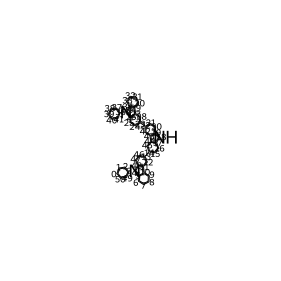 c1ccc(-n2c3ccccc3c3cc(-c4ccc5[nH]c6ccc(-c7ccc8c(c7)c7ccccc7n8-c7ccccc7)cc6c5c4)ccc32)cc1